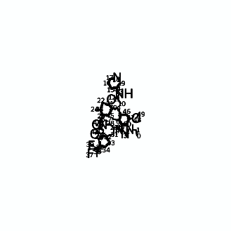 CCn1nnc2c(C)c([C@@H](CC(=O)Nc3cccnc3)c3ccc(C)c(CN4C[C@@H](C)Cc5ccc(C(F)(F)F)cc5S4(=O)=O)c3)cc(OC)c21